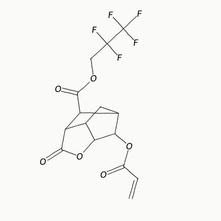 C=CC(=O)OC1C2CC3C1OC(=O)C3C2C(=O)OCC(F)(F)C(F)(F)F